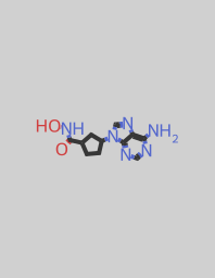 Nc1ncnc2c1ncn2C1CCC(C(=O)NO)C1